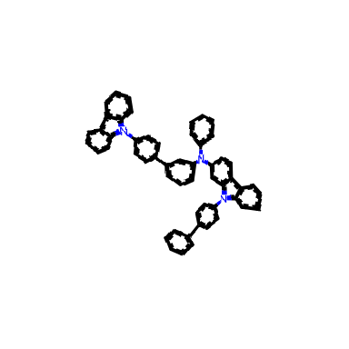 c1ccc(-c2ccc(-n3c4ccccc4c4ccc(N(c5ccccc5)c5cccc(-c6ccc(-n7c8ccccc8c8ccccc87)cc6)c5)cc43)cc2)cc1